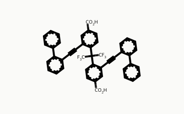 O=C(O)c1ccc(C(c2ccc(C(=O)O)cc2C#Cc2ccccc2-c2ccccc2)(C(F)(F)F)C(F)(F)F)c(C#Cc2ccccc2-c2ccccc2)c1